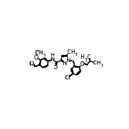 COc1cc(NC(=O)c2cc(C)n(Cc3cc(Cl)ccc3OCC(C)C)n2)ccc1C=O